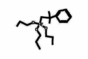 CCC[O][Hf]([CH2]C(C)(C)c1ccccc1)([O]CCC)[O]CCC